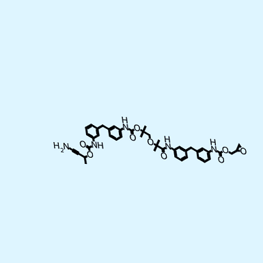 CC(C#CN)OC(=O)Nc1cccc(Cc2cccc(NC(=O)OC(C)(C)COC(C)(C)C(=O)Nc3cccc(Cc4cccc(NC(=O)OCC5CO5)c4)c3)c2)c1